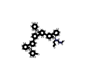 C=CC/C(=C\C=C/C)n1c2ccccc2c2cc(-c3ccc4c(c3)c3cc(-c5ccc6c(c5)c5ccccc5n6-c5cccc(C)c5)ccc3n4-c3ccccc3)ccc21